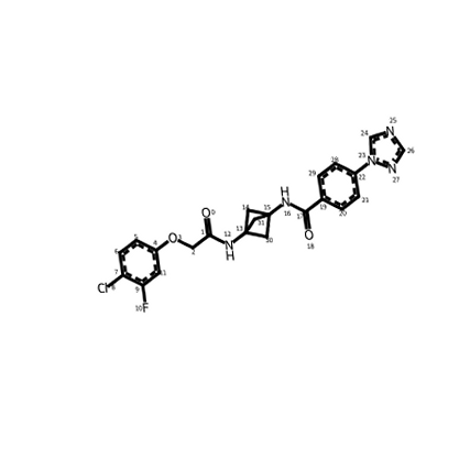 O=C(COc1ccc(Cl)c(F)c1)NC12CC(NC(=O)c3ccc(-n4cncn4)cc3)(C1)C2